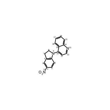 O=[N+]([O-])c1ccc2c(c1)CCN2c1ccnc2ccccc12